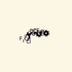 CC1(C)C(/C=C(/Cl)C(F)(F)F)C1C(=O)OC(c1cccc(Oc2ccccc2)n1)C(F)(F)F